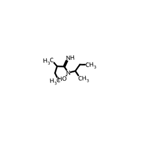 CCC(C)C(=N)N(O)C(C)CC